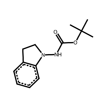 CC(C)(C)OC(=O)NN1CCc2ccccc21